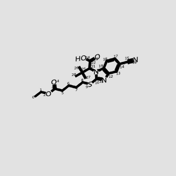 CCOC(=O)CCCCSc1nc2cc(C#N)ccc2n1C(C(=O)O)C(C)(C)C